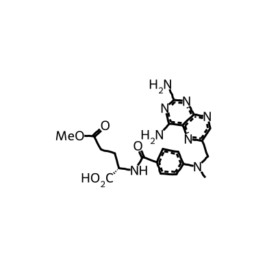 COC(=O)CC[C@H](NC(=O)c1ccc(N(C)Cc2cnc3nc(N)nc(N)c3n2)cc1)C(=O)O